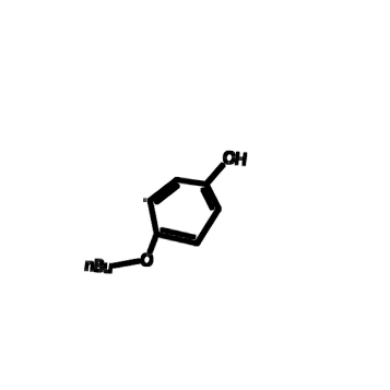 CCCCOc1[c]cc(O)cc1